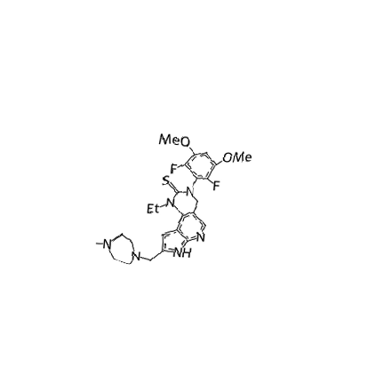 CCN1C(=S)N(c2c(F)c(OC)cc(OC)c2F)Cc2cnc3[nH]c(CN4CCN(C)CC4)cc3c21